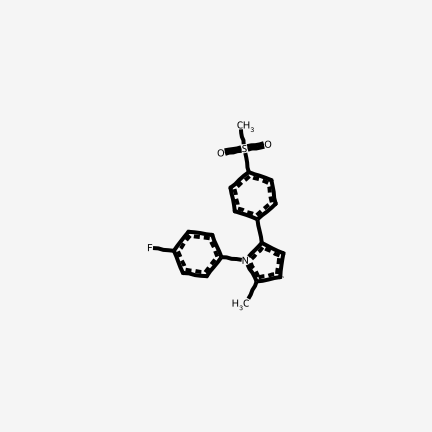 Cc1[c]cc(-c2ccc(S(C)(=O)=O)cc2)n1-c1ccc(F)cc1